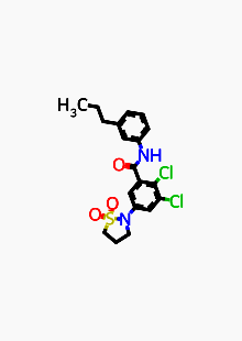 CCCc1cccc(NC(=O)c2cc(N3CCCS3(=O)=O)cc(Cl)c2Cl)c1